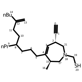 C#C[C@H]1C=C(CCCC(CCC)CCC(=C)CCCC)[C@H](C)CN(CS)C1